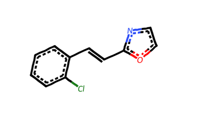 Clc1ccccc1C=Cc1ncco1